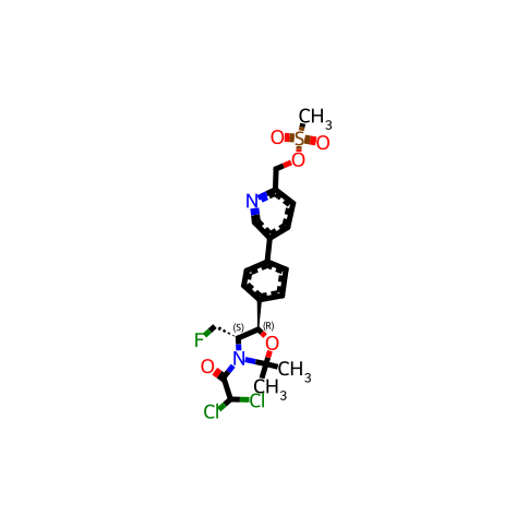 CC1(C)O[C@H](c2ccc(-c3ccc(COS(C)(=O)=O)nc3)cc2)[C@@H](CF)N1C(=O)C(Cl)Cl